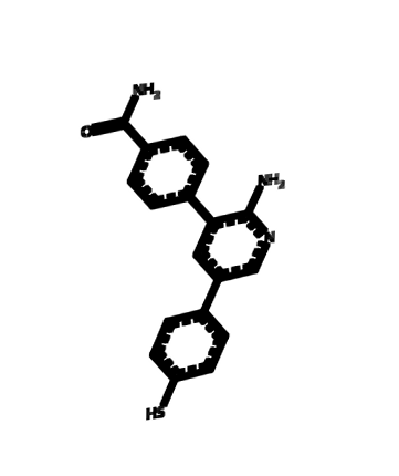 NC(=O)c1ccc(-c2cc(-c3ccc(S)cc3)cnc2N)cc1